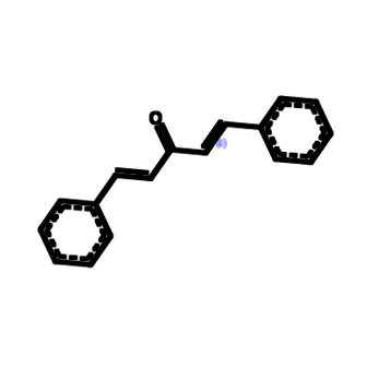 O=C(C=Cc1ccccc1)/C=C/c1ccccc1